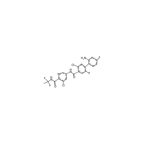 CC(F)(F)NC(=O)c1ncc(NC(=O)c2cc(F)c(-c3ccc(F)cc3N)cc2Cl)cc1Cl